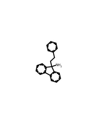 NC1(CCc2ccccc2)c2ccccc2-c2ccccc21